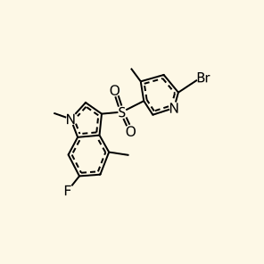 Cc1cc(Br)ncc1S(=O)(=O)c1cn(C)c2cc(F)cc(C)c12